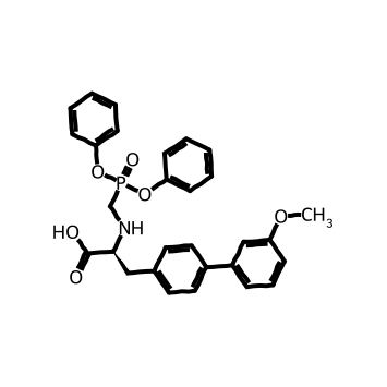 COc1cccc(-c2ccc(C[C@H](NCP(=O)(Oc3ccccc3)Oc3ccccc3)C(=O)O)cc2)c1